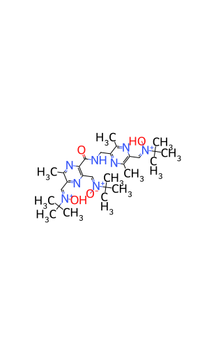 Cc1nc(CNC(=O)c2nc(C)c(/C=[N+](\O)C(C)(C)C)nc2/C=[N+](\[O-])C(C)(C)C)c(C)nc1/C=[N+](\O)C(C)(C)C